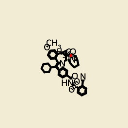 COc1ccc2c(c1)C1CC1(C(=O)N1C3CCC1CN(C)C3)Cn1c-2c(C2CCCCC2)c2ccc(C(=O)NS(=O)(=O)c3ccccc3C#N)cc21